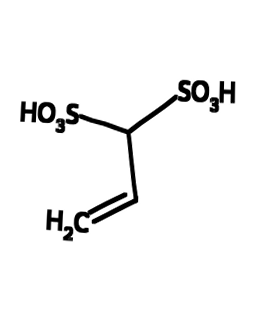 C=CC(S(=O)(=O)O)S(=O)(=O)O